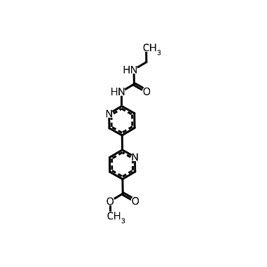 CCNC(=O)Nc1ccc(-c2ccc(C(=O)OC)cn2)cn1